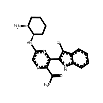 NC(=O)c1ncc(N[C@@H]2CCCC[C@@H]2N)nc1-c1[nH]c2ccccc2c1Cl